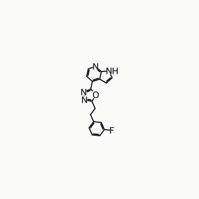 Fc1cccc(CCc2nnc(-c3ccnc4[nH]ccc34)o2)c1